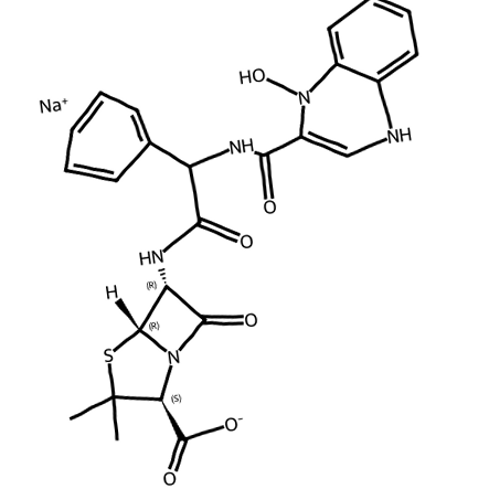 CC1(C)S[C@@H]2[C@H](NC(=O)C(NC(=O)C3=CNc4ccccc4N3O)c3ccccc3)C(=O)N2[C@H]1C(=O)[O-].[Na+]